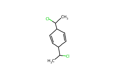 CC(Cl)C1C=CC(C(C)Cl)C=C1